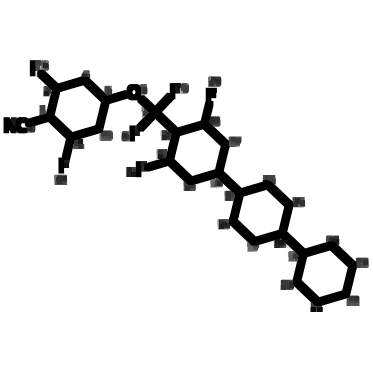 N#CC1C(F)CC(OC(F)(F)C2C(F)CC(C3CCC(C4CCCCC4)CC3)CC2F)CC1F